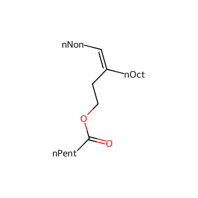 CCCCCCCCCC=C(CCCCCCCC)CCOC(=O)CCCCC